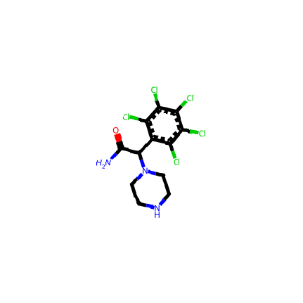 NC(=O)C(c1c(Cl)c(Cl)c(Cl)c(Cl)c1Cl)N1CCNCC1